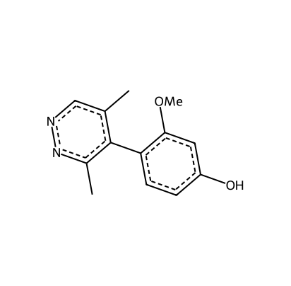 COc1cc(O)ccc1-c1c(C)cnnc1C